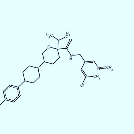 C=N/C=C(\C=C(/C)Cl)CNC(=O)[C@@]1(C(C)C)CCC(N2CCC(c3ccc(F)cc3)CC2)CO1